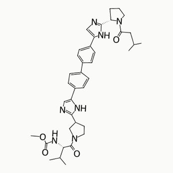 COC(=O)N[C@H](C(=O)N1CCC(c2ncc(-c3ccc(-c4ccc(-c5cnc([C@@H]6CCCN6C(=O)CC(C)C)[nH]5)cc4)cc3)[nH]2)C1)C(C)C